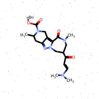 CCCCOC(=O)N1Cc2c(nn3c2C(=O)N(C)CC(C(=O)C=CN(C)C)C3)CC1C